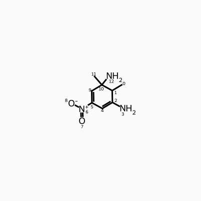 CC1C(N)=CC([N+](=O)[O-])=CC1(C)N